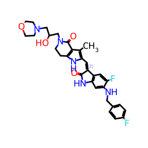 Cc1c(/C=C2\C(=O)Nc3cc(NCc4ccc(F)cc4)c(F)cc32)[nH]c2c1C(=O)N(CC(O)CN1CCOCC1)CC2